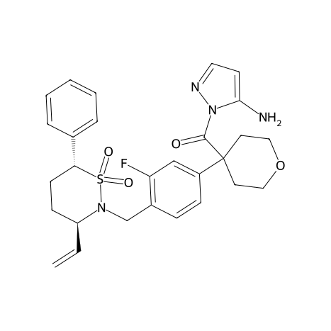 C=C[C@H]1CC[C@H](c2ccccc2)S(=O)(=O)N1Cc1ccc(C2(C(=O)n3nccc3N)CCOCC2)cc1F